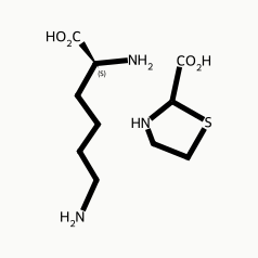 NCCCC[C@H](N)C(=O)O.O=C(O)C1NCCS1